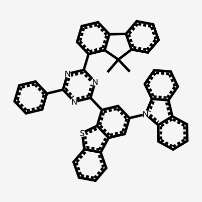 CC1(C)c2ccccc2-c2cccc(-c3nc(-c4ccccc4)nc(-c4cc(-n5c6ccccc6c6ccccc65)cc5c4sc4ccccc45)n3)c21